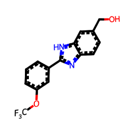 OCc1ccc2nc(-c3cccc(OC(F)(F)F)c3)[nH]c2c1